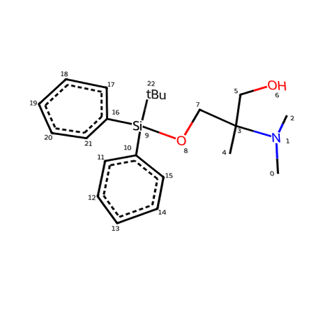 CN(C)C(C)(CO)CO[Si](c1ccccc1)(c1ccccc1)C(C)(C)C